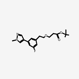 Cn1cc(-c2cc(F)cc(CCOCCC(=O)OC(C)(C)C)c2)cn1